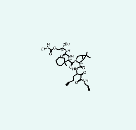 C#CCCC(NC(=O)[C@@H]1C2C(CN1C(=O)[C@@H](NC(=O)N[C@H](COC(=O)NCC)C(C)(C)C)C1(C)CCCCC1)C2(C)C)C(=O)C(=O)NCC=C